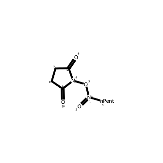 CCCCC[N+](=O)ON1C(=O)CCC1=O